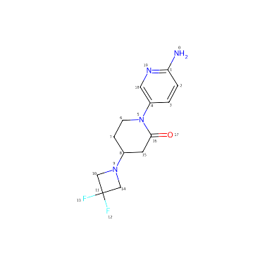 Nc1ccc(N2CCC(N3CC(F)(F)C3)CC2=O)cn1